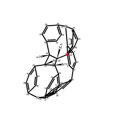 c1cc2ccc1-c1ccc(cc1)N1c3ccc(cc3)[C@H]3[C@H]4c5ccc(cc5)N2c2ccc(cc2)[C@H]4[C@H]3c2ccc1cc2